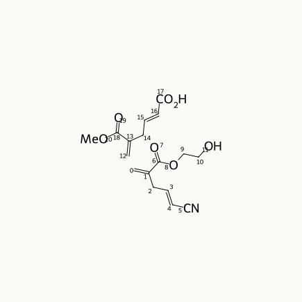 C=C(CC=CC#N)C(=O)OCCO.C=C(CC=CC(=O)O)C(=O)OC